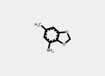 Cc1cc(N)c2c(c1)OCO2